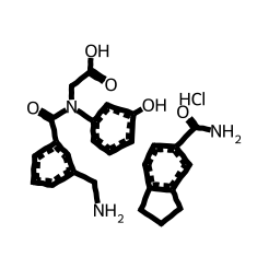 Cl.NC(=O)c1ccc2c(c1)CCC2.NCc1cccc(C(=O)N(CC(=O)O)c2cccc(O)c2)c1